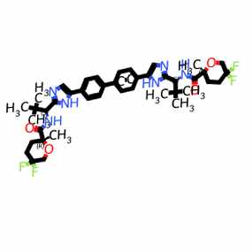 CC(C)(C)[C@H](NC(=O)[C@@]1(C)CCC(F)(F)CO1)c1ncc(-c2ccc(C34CCC(c5cnc([C@@H](NC(=O)[C@]6(C)CCC(F)(F)CO6)C(C)(C)C)[nH]5)(CC3)CC4)cc2)[nH]1